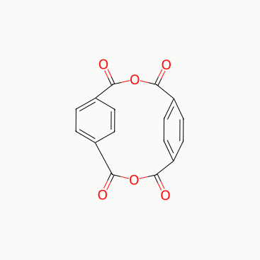 O=C1OC(=O)c2ccc(cc2)C(=O)OC(=O)c2ccc1cc2